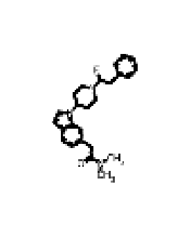 CN(C)C(=O)Cc1ccc2ccn(C3CCN(C(F)Cc4ccccc4)CC3)c2c1